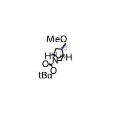 CO/C=C1\C[C@@H]2C[C@@H]1CN2C(=O)OC(C)(C)C